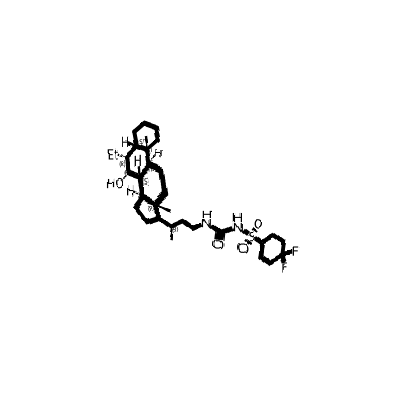 CC[C@H]1[C@@H](O)[C@@H]2[C@H](CC[C@]3(C)C([C@H](C)CCNC(=O)NS(=O)(=O)C4CCC(F)(F)CC4)CC[C@@H]23)[C@@]2(C)CCCC[C@@H]12